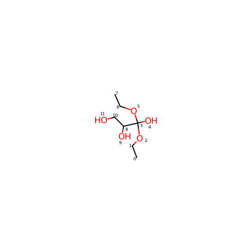 CCOC(O)(OCC)C(O)CO